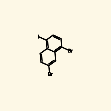 Brc1ccc2c(I)ccc(Br)c2c1